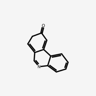 O=C1C=c2c(cnc3ccccc23)=CC1